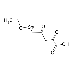 CC[O][Sn][CH2]C(=O)CC(=O)C(=O)O